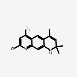 CC1=CC(C)(C)Nc2cc3nc(Cl)cc(C(F)(F)F)c3cc21